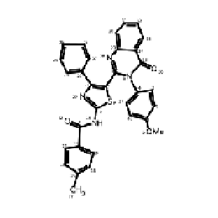 COc1ccc(-n2c(-c3sc(NC(=O)c4ccc(C)cc4)nc3-c3ccccc3)nc3ccccc3c2=O)cc1